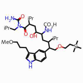 COCCCc1c[nH]c2ccc(C(COCC[Si](C)(C)C)C(CC(NC(=O)O)C(O)CC(C(=O)N(CC(C)C)C(N)=O)C(C)C)C(C)C)cc12